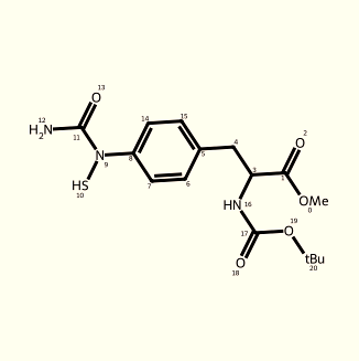 COC(=O)C(Cc1ccc(N(S)C(N)=O)cc1)NC(=O)OC(C)(C)C